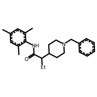 CCC(C(=O)Nc1c(C)cc(C)cc1C)C1CCN(Cc2ccccc2)CC1